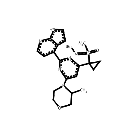 CC1COCCN1c1cc(C2(S(C)(=O)=NC(C)(C)C)CC2)nc(-c2ccnc3[nH]ccc23)n1